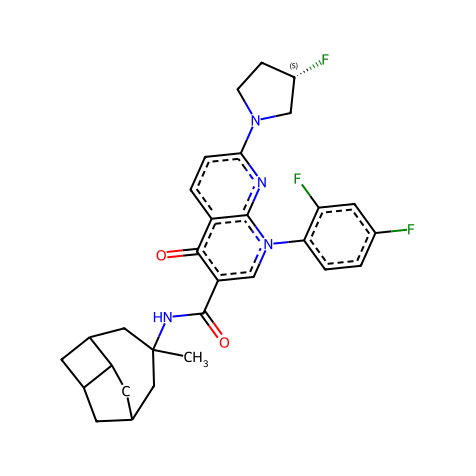 CC1(NC(=O)c2cn(-c3ccc(F)cc3F)c3nc(N4CC[C@H](F)C4)ccc3c2=O)CC2CC3CC(C1)C3C2